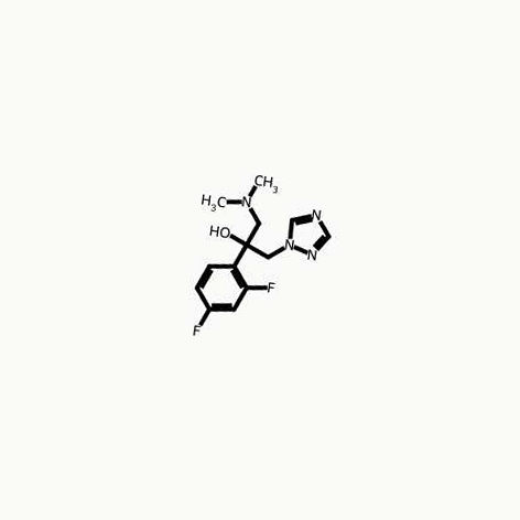 CN(C)CC(O)(Cn1cncn1)c1ccc(F)cc1F